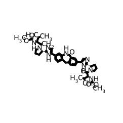 C=C([C@@H](NC(=O)OC)C(C)C)N1CCC[C@H]1c1ncc(-c2ccc3c(c2)NC(=O)c2cc(-c4cnc([C@@H]5CCCN5C(=O)[C@@H](NC(=O)OC)C(C)C)[nH]4)ccc2C3)[nH]1